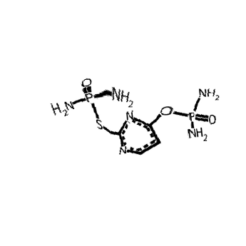 NP(N)(=O)Oc1ccnc(SP(N)(N)=O)n1